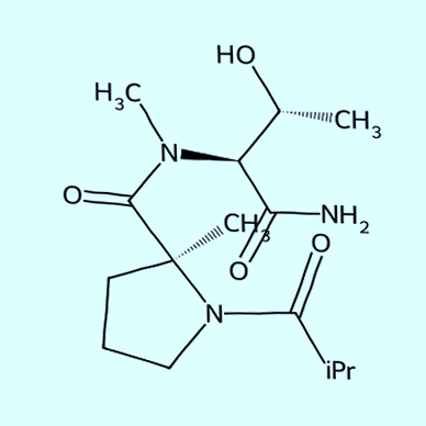 CC(C)C(=O)N1CCC[C@@]1(C)C(=O)N(C)[C@H](C(N)=O)[C@@H](C)O